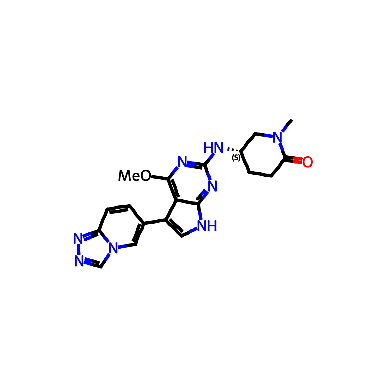 COc1nc(N[C@H]2CCC(=O)N(C)C2)nc2[nH]cc(-c3ccc4nncn4c3)c12